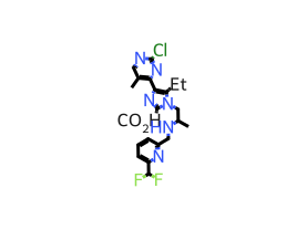 CCc1c(-c2nc(Cl)ncc2C)nc(C(=O)O)n1CC(C)NCc1cccc(C(F)F)n1